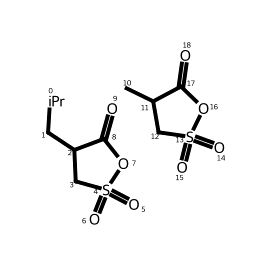 CC(C)CC1CS(=O)(=O)OC1=O.CC1CS(=O)(=O)OC1=O